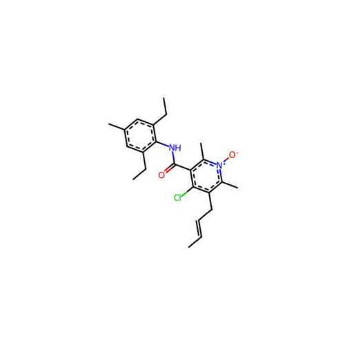 CC=CCc1c(Cl)c(C(=O)Nc2c(CC)cc(C)cc2CC)c(C)[n+]([O-])c1C